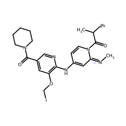 C/N=c1/cc(Nc2ncc(C(=O)N3CCCCC3)cc2OCI)ccn1C(=O)C(C)C(C)C